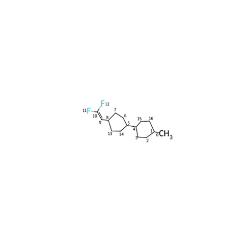 CC1CCC(C2CCC(C=C(F)F)CC2)CC1